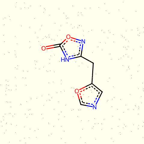 O=c1[nH]c(Cc2cnco2)no1